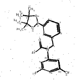 CCC(=O)N(Cc1cccc(B2OC(C)(C)C(C)(C)O2)c1)c1cc(F)cc(C#N)c1